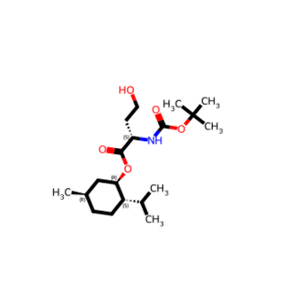 CC(C)[C@@H]1CC[C@@H](C)C[C@H]1OC(=O)[C@H](CCO)NC(=O)OC(C)(C)C